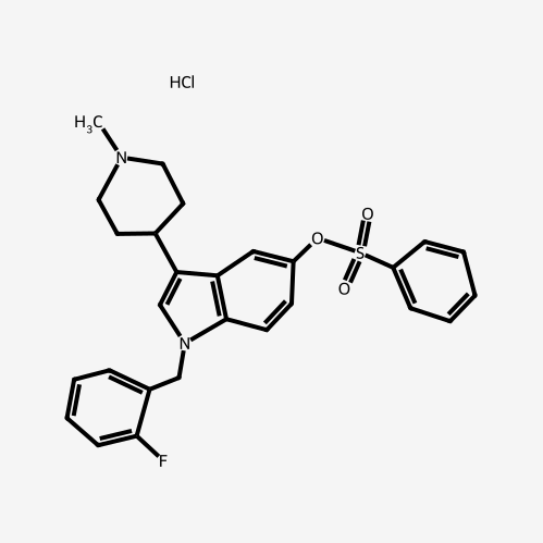 CN1CCC(c2cn(Cc3ccccc3F)c3ccc(OS(=O)(=O)c4ccccc4)cc23)CC1.Cl